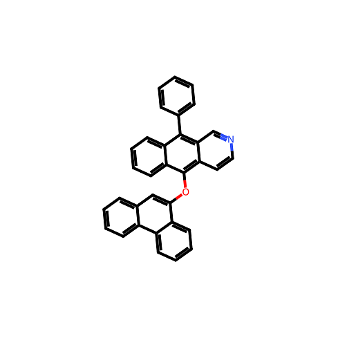 c1ccc(-c2c3ccccc3c(Oc3cc4ccccc4c4ccccc34)c3ccncc23)cc1